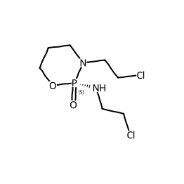 O=[P@@]1(NCCCl)OCCCN1CCCl